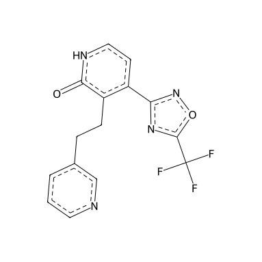 O=c1[nH]ccc(-c2noc(C(F)(F)F)n2)c1CCc1cccnc1